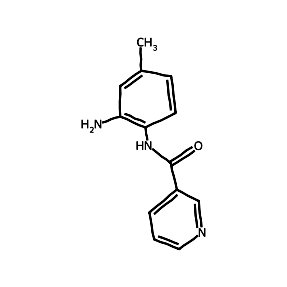 Cc1ccc(NC(=O)c2cccnc2)c(N)c1